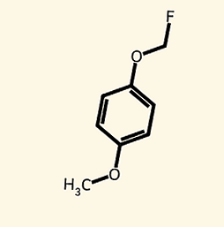 COc1ccc(OCF)cc1